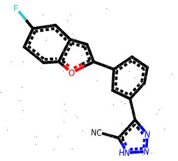 N#Cc1[nH]nnc1-c1cccc(-c2cc3cc(F)ccc3o2)c1